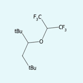 CC(C)(C)CC(OC(C(F)(F)F)C(F)(F)F)C(C)(C)C